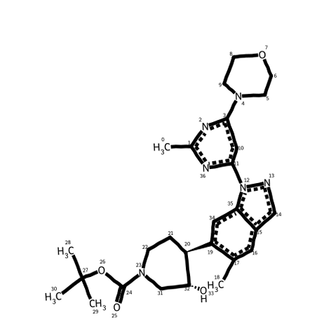 Cc1nc(N2CCOCC2)cc(-n2ncc3cc(C)c([C@@H]4CCN(C(=O)OC(C)(C)C)C[C@H]4O)cc32)n1